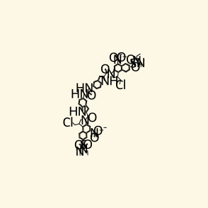 CCN(N(C)C)S(=O)(=O)c1ccc2c3c(cc([N+](=O)[O-])c2c1)N(C(=O)c1cc2cc(NC(=O)Nc4ccc5[nH]c(C(=O)N6CC(CCl)c7c6cc([N+](=O)[O-])c6cc(S(=O)(=O)N(CC)N(C)C)ccc76)cc5c4)ccc2[nH]1)CC3CCl